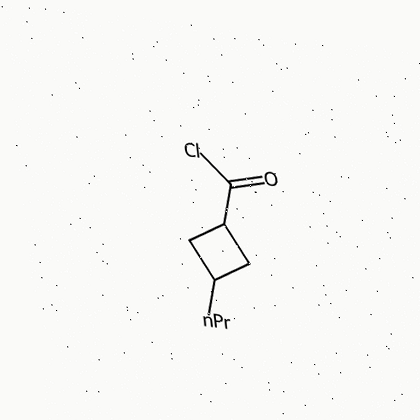 CCCC1CC(C(=O)Cl)C1